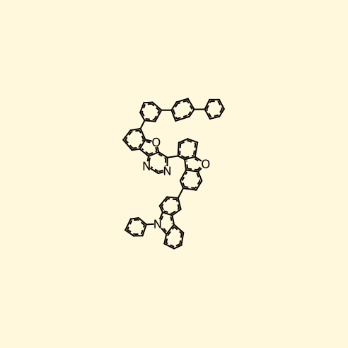 c1ccc(-c2ccc(-c3cccc(-c4cccc5c4oc4c(-c6cccc7oc8ccc(-c9ccc%10c(c9)c9ccccc9n%10-c9ccccc9)cc8c67)ncnc45)c3)cc2)cc1